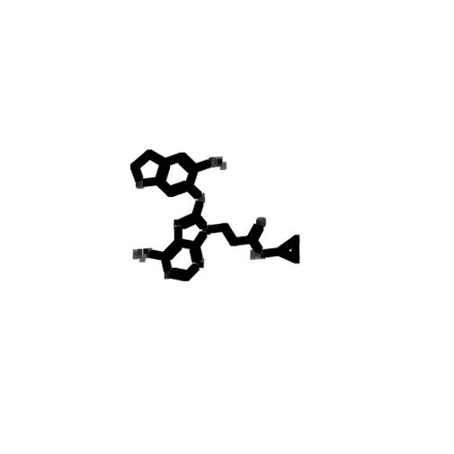 Cc1cc2c(cc1Sc1nc3c(N)ncnc3n1CCC(=O)NC1CC1)OCC2